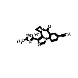 C#Cc1ccc2c(c1)C(=O)N1CC[C@@H]1c1c(-c3nc(C)no3)ncn1-2